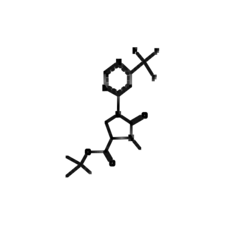 CN1C(=O)N(c2cc(C(F)(F)F)ncn2)CC1C(=O)OC(C)(C)C